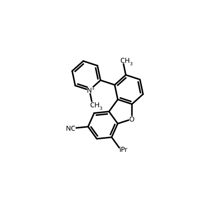 Cc1ccc2oc3c(C(C)C)cc(C#N)cc3c2c1-c1cccc[n+]1C